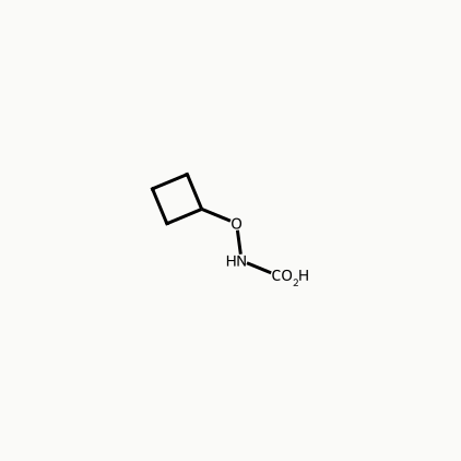 O=C(O)NOC1CCC1